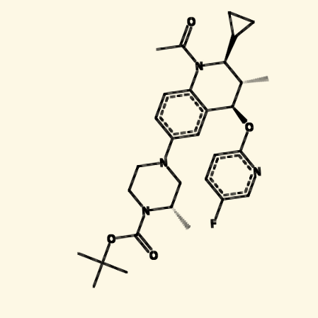 CC(=O)N1c2ccc(N3CCN(C(=O)OC(C)(C)C)[C@@H](C)C3)cc2[C@H](Oc2ccc(F)cn2)[C@@H](C)[C@@H]1C1CC1